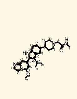 CNC(=O)CN1CCC(c2ccc3[nH]c(-c4cc(OC)n5ccnc5c4)c(C(C)C)c3c2)CC1